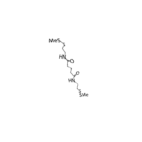 CSSCCNC(=O)CCCC(=O)NCCSSC